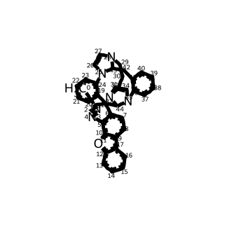 CN1C=CN2c3c(ccc4c3oc3ccccc34)C3(c4ccccc4N4C=CN5CCCN6C=CN(c7ccccc7CC54)C63)C12